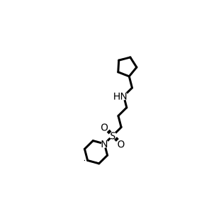 O=S(=O)(CCCNCC1CCCC1)N1CC[CH]CC1